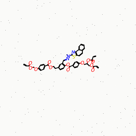 C=CC(=O)OCOc1ccc(C(=O)OCCc2ccc(OC(=O)c3ccc(OCC(COC(=O)C=C)OC(=O)C=C)cc3)c(/C=N/N(C)c3nc4c(ccc5ccccc54)s3)c2)cc1